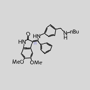 CCCCNCc1ccc(N/C(=C2\C(=O)Nc3cc(OC)c(OC)cc32)c2ccccc2)cc1